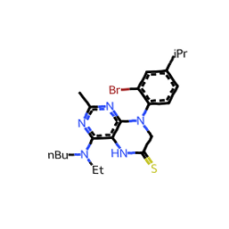 CCCCN(CC)c1nc(C)nc2c1NC(=S)CN2c1ccc(C(C)C)cc1Br